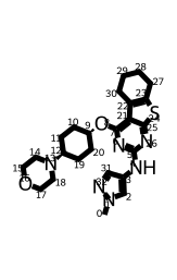 Cn1cc(Nc2nc(O[C@H]3CC[C@H](N4CCOCC4)CC3)c3c4c(sc3n2)CCCC4)cn1